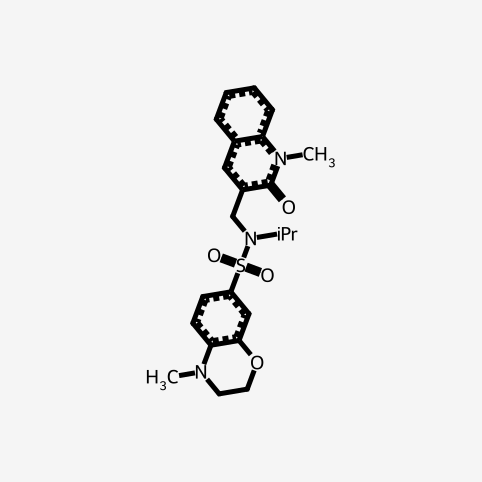 CC(C)N(Cc1cc2ccccc2n(C)c1=O)S(=O)(=O)c1ccc2c(c1)OCCN2C